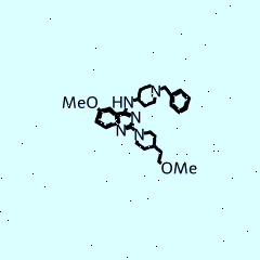 COCCC1CCN(c2nc(NC3CCN(Cc4ccccc4)CC3)c3cc(OC)ccc3n2)CC1